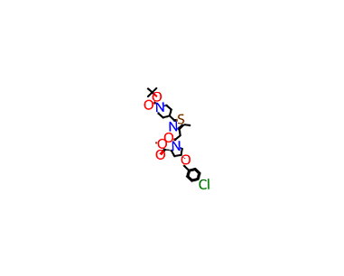 COC(=O)[C@@H]1C[C@@H](OCc2ccc(Cl)cc2)CN1C(=O)Cc1nc(C2CCN(C(=O)OC(C)(C)C)CC2)sc1C